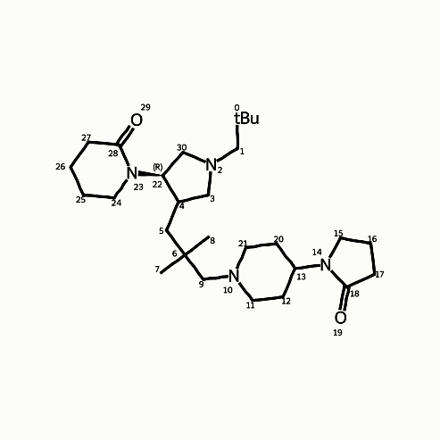 CC(C)(C)CN1CC(CC(C)(C)CN2CCC(N3CCCC3=O)CC2)[C@@H](N2CCCCC2=O)C1